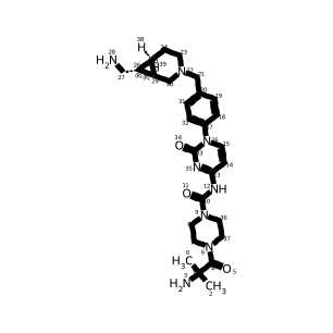 CC(C)(N)C(=O)N1CCN(C(=O)Nc2ccn(-c3ccc(CN4CC[C@@H]5[C@@H](CN)[C@@H]5C4)cc3)c(=O)n2)CC1